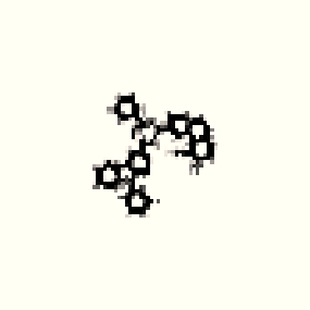 N=C1C=Cc2ccc3ccc(-c4nc(-c5ccccc5)nc(-c5ccc6c(c5)c5ccccc5n6-c5ccccc5)n4)cc3c2C1=N